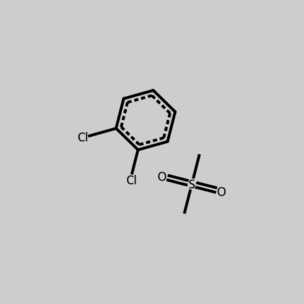 CS(C)(=O)=O.Clc1ccccc1Cl